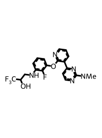 CNc1nccc(-c2cccnc2Oc2cccc(NCC(O)C(F)(F)F)c2F)n1